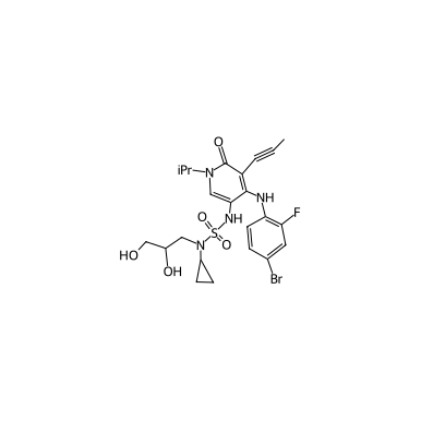 CC#Cc1c(Nc2ccc(Br)cc2F)c(NS(=O)(=O)N(CC(O)CO)C2CC2)cn(C(C)C)c1=O